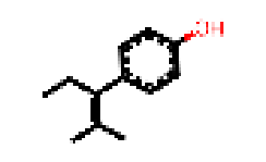 CCC(=C(C)C)c1ccc(O)cc1